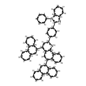 c1ccc(-n2c(-c3ccc(-c4cc(-c5cc6ccccc6c6ccccc56)c5cc(-c6cc7ccccc7c7ccccc67)c6ccccc6c5n4)cc3)nc3ccccc32)cc1